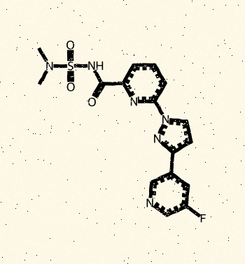 CN(C)S(=O)(=O)NC(=O)c1cccc(-n2ccc(-c3cncc(F)c3)n2)n1